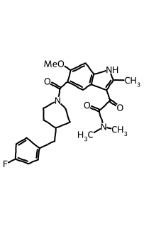 COc1cc2[nH]c(C)c(C(=O)C(=O)N(C)C)c2cc1C(=O)N1CCC(Cc2ccc(F)cc2)CC1